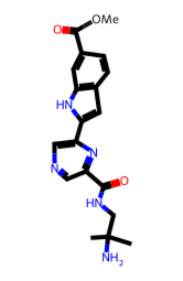 COC(=O)c1ccc2cc(-c3cncc(C(=O)NCC(C)(C)N)n3)[nH]c2c1